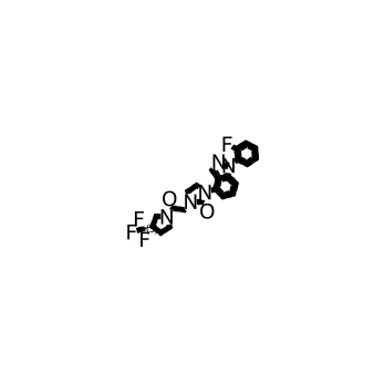 O=C(CN1CCN(c2cccc3c2cnn3-c2ccccc2F)C1=O)N1CC[C@H](C(F)(F)F)C1